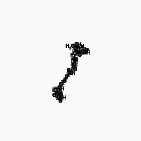 C[C@@H]1CN(c2cc(F)c(-c3cnc(N4CCN(C(=O)CCC(=O)NCCOCCOCCOCCNc5cccc6c5C(=O)N(C5CCC(=O)NC5=O)C6=O)CC4)nc3)cc2NC(=O)c2c[nH]c(=O)cc2C(F)(F)F)C[C@H](C)N1C